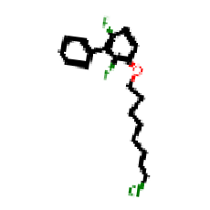 Fc1ccc(OCCCCCCCCCl)c(F)c1-c1ccccc1